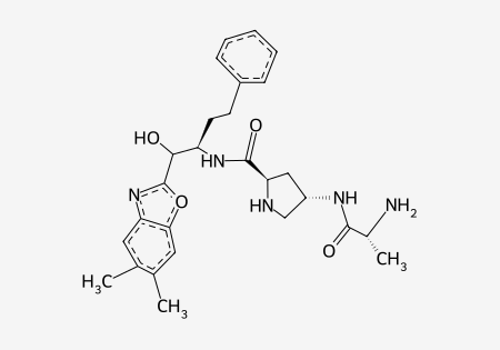 Cc1cc2nc(C(O)[C@@H](CCc3ccccc3)NC(=O)[C@H]3C[C@H](NC(=O)[C@@H](C)N)CN3)oc2cc1C